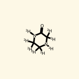 [2H]N1C(=O)C([2H])([2H])N([2H])C([2H])([2H])C1([2H])[2H]